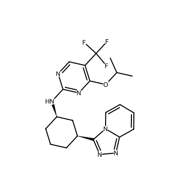 CC(C)Oc1nc(N[C@@H]2CCC[C@H](c3nnc4ccccn34)C2)ncc1C(F)(F)F